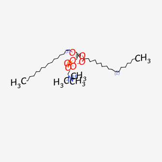 CCCCCC/C=C\CCCCCCCCCC(=O)O[C@H](CO/C=C\CCCCCCCCCCCCCC)COP(=O)([O-])OCC[N+](C)(C)C